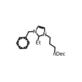 CCCCCCCCCCCCCN1C=CN(Cc2ccccc2)C1CC